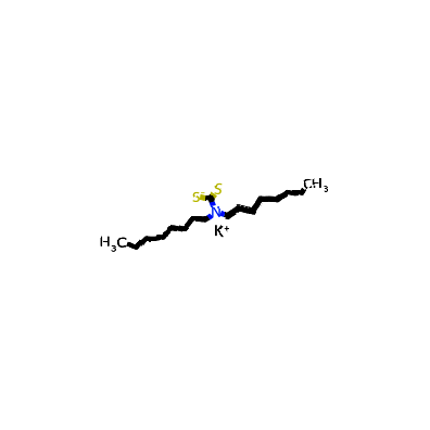 CCCCCCCCN(CCCCCCCC)C(=S)[S-].[K+]